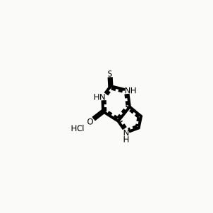 Cl.O=c1[nH]c(=S)[nH]c2cc[nH]c12